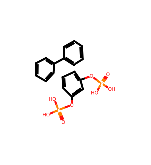 O=P(O)(O)Oc1cccc(OP(=O)(O)O)c1.c1ccc(-c2ccccc2)cc1